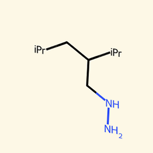 CC(C)CC(CNN)C(C)C